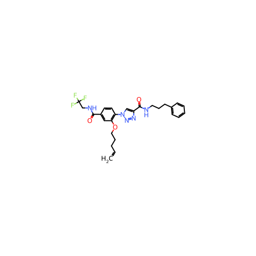 C=CCCCOc1cc(C(=O)NCC(F)(F)F)ccc1-n1cc(C(=O)NCCCc2ccccc2)nn1